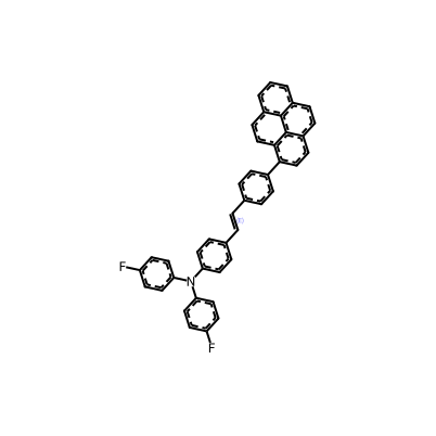 Fc1ccc(N(c2ccc(F)cc2)c2ccc(/C=C/c3ccc(-c4ccc5ccc6cccc7ccc4c5c67)cc3)cc2)cc1